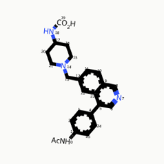 CC(=O)Nc1ccc(-c2cncc3ccc(CN4CCC(NC(=O)O)CC4)cc23)cc1